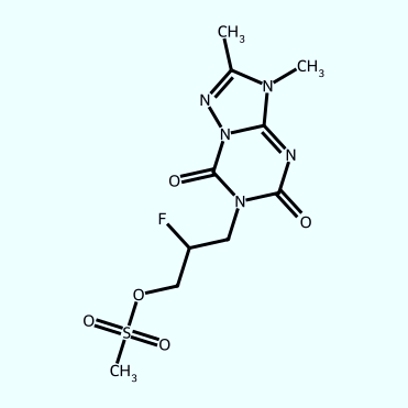 Cc1nn2c(=O)n(CC(F)COS(C)(=O)=O)c(=O)nc2n1C